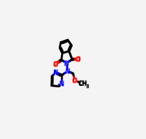 COCN(c1ncccn1)N1C(=O)c2ccccc2C1=O